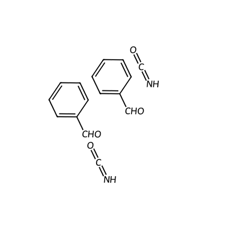 N=C=O.N=C=O.O=Cc1ccccc1.O=Cc1ccccc1